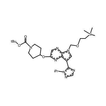 CC(C)n1ncnc1-c1cn(COCC[Si](C)(C)C)c2ncc(OC3CCN(C(=O)OC(C)(C)C)CC3)nc12